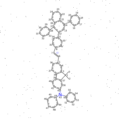 CC1(C)c2cc(/C=C/c3ccc(-c4cc(-c5ccccc5)c5ccccc5c4-c4ccccc4)cc3)ccc2-c2ccc(N(c3ccccc3)c3ccccc3)cc21